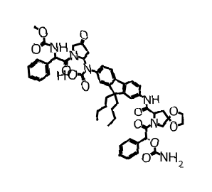 CCCCC1(CCCC)c2cc(NC(=O)C3CC4(CN3C(=O)[C@H](OC(N)=O)c3ccccc3)OCCO4)ccc2-c2ccc(N(C(=O)O)C3CC(=O)CN3C(=O)C(NC(=O)OC)c3ccccc3)cc21